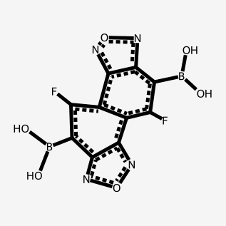 OB(O)c1c(F)c2c3nonc3c(B(O)O)c(F)c2c2nonc12